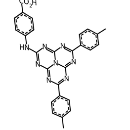 Cc1ccc(C2=NC3=NC(Nc4ccc(C(=O)O)cc4)=NC4=NC(c5ccc(C)cc5)=NC(=N2)N34)cc1